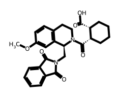 COc1ccc2c(c1)[C@H](CN1C(=O)c3ccccc3C1=O)N(C(=O)[C@H]1CCCC[C@H]1C(=O)O)CC2